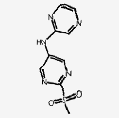 CS(=O)(=O)c1ncc(Nc2cnccn2)cn1